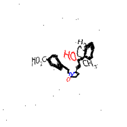 CC(C)(c1ccccc1)[C@@H](O)/C=C/[C@H]1CCC(=O)N1CCc1ccc(C(=O)O)cc1